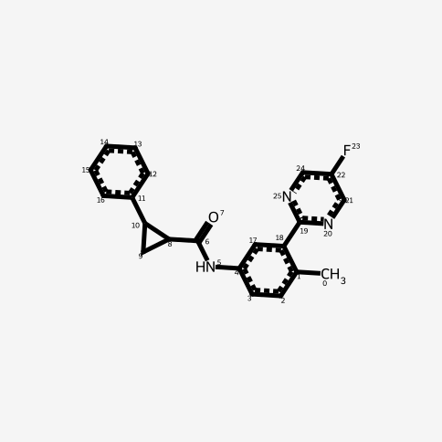 Cc1ccc(NC(=O)C2CC2c2ccccc2)cc1-c1ncc(F)cn1